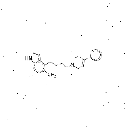 Cc1ccc2[nH]ccc2c1CCCCN1CC=C(c2ccccc2)CC1